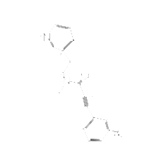 CN(CCc1cccnc1)C(=O)C#Cc1cccc(Cl)c1